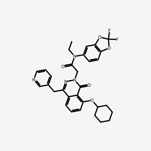 CCN(C(=O)Cn1nc(Cc2cccnc2)c2cccc(OC3CCCCC3)c2c1=O)c1ccc2c(c1)OC(F)(F)O2